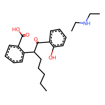 CCCCCC(C(=O)c1ccccc1O)c1ccccc1C(=O)O.CCNCC